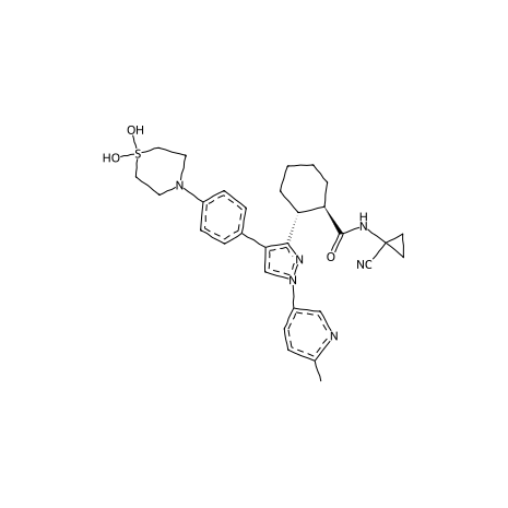 Cc1ccc(-n2cc(-c3ccc(N4CCS(O)(O)CC4)cc3)c([C@@H]3CCCC[C@H]3C(=O)NC3(C#N)CC3)n2)cn1